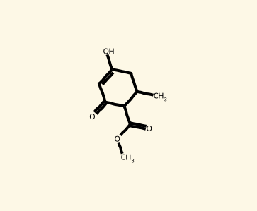 COC(=O)C1C(=O)C=C(O)CC1C